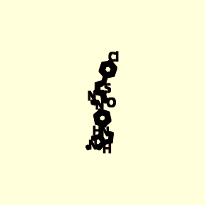 CN1C[C@@H]2CCN(c3ccc(-n4cnc5cc(-c6ccc(Cl)cc6)sc5c4=O)cc3)[C@@H]2C1